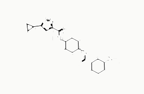 N[C@H]1CCC[C@H](C(=O)NC2CCC(NC(=O)c3cc(C4CC4)on3)CC2)C1